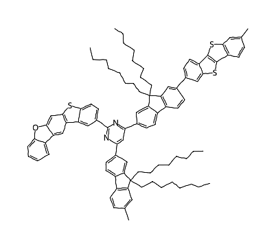 CCCCCCCCC1(CCCCCCCC)c2cc(C)ccc2-c2ccc(-c3cc(-c4ccc5c(c4)C(CCCCCCCC)(CCCCCCCC)c4cc(-c6ccc7c(c6)sc6c8ccc(C)cc8sc76)ccc4-5)nc(-c4ccc5sc6cc7oc8ccccc8c7cc6c5c4)n3)cc21